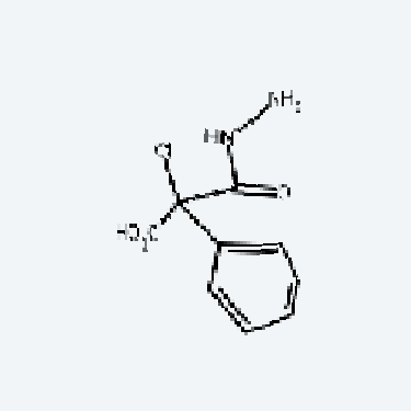 NNC(=O)C(Cl)(C(=O)O)c1ccccc1